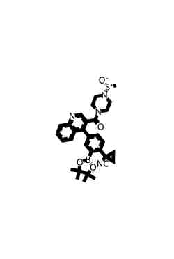 C[S+]([O-])N1CCN(C(=O)c2cnc3ccccc3c2-c2ccc(C3(C#N)CC3)c(B3OC(C)(C)C(C)(C)O3)c2)CC1